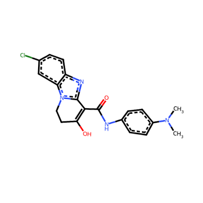 CN(C)c1ccc(NC(=O)C2=C(O)CCn3c2nc2ccc(Cl)cc23)cc1